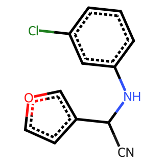 N#CC(Nc1cccc(Cl)c1)c1ccoc1